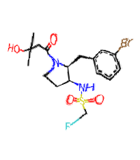 CC(C)(O)C(=O)N1CC[C@H](NS(=O)(=O)CF)[C@@H]1Cc1cccc(Br)c1